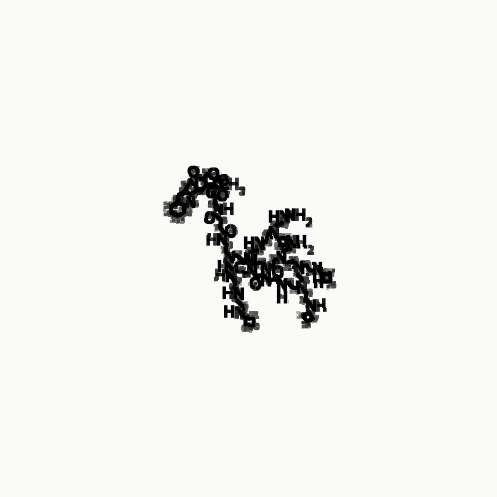 CCNC(=O)CCC(=O)NCCN(CCNC1CCC1)CCN(CCNC1CCC1)CCN(CCN)CCNCCN(CCNCCN(CCNN)C1CCC1)CCN(CCNCCNCCNC1CCC1)CCNC(=O)CCC(=O)NCC(=O)OC1(CC)C(=O)OCC2C(=O)N3Cc4cc5ccccc5nc4C3=CC21